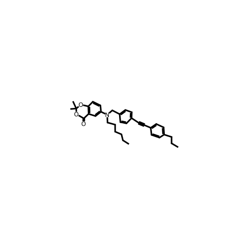 CCCCCCN(Cc1ccc(C#Cc2ccc(CCC)cc2)cc1)c1ccc2c(c1)C(=O)OC(C)(C)O2